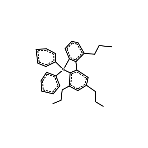 CCCc1cc(CCC)c2c(c1)-c1c(CCC)cccc1[Si]2(c1ccccc1)c1ccccc1